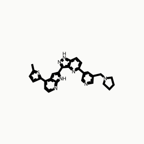 Cc1ccc(-c2ccnc3[nH]c(-c4n[nH]c5ccc(-c6cncc(CN7CCCC7)c6)nc45)cc23)s1